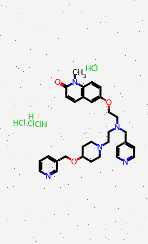 Cl.Cl.Cl.Cl.Cn1c(=O)ccc2cc(OCCN(CCN3CCC(OCc4cccnc4)CC3)Cc3ccncc3)ccc21